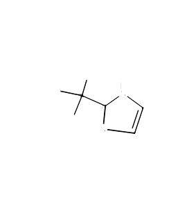 FC(F)(F)C1[N]C=CN1